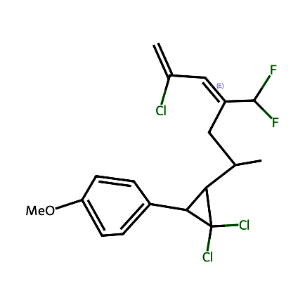 C=C(Cl)/C=C(\CC(C)C1C(c2ccc(OC)cc2)C1(Cl)Cl)C(F)F